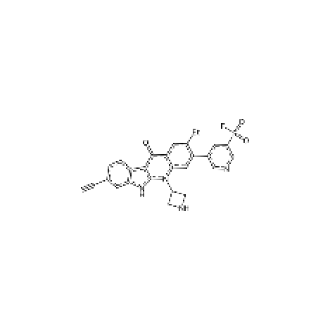 C#Cc1ccc2c(c1)[nH]c1c2c(=O)c2cc(CC)c(-c3cncc(S(=O)(=O)F)c3)cc2n1C1CNC1